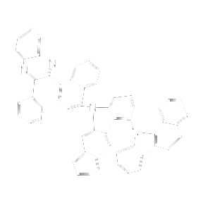 c1ccc(-c2nc3ccccc3nc2-c2ccc(-n3c4cc5ccccc5cc4c4c(-n5c6ccccc6c6ccc7ccccc7c65)cccc43)c3ccccc23)cc1